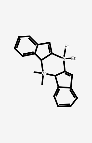 CC[Si]1(CC)C2=Cc3ccccc3[CH]2[Zr]([CH3])([CH3])[CH]2C1=Cc1ccccc12